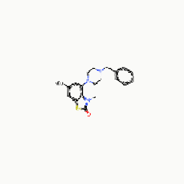 CCCCc1cc(N2CCN(Cc3ccccc3)CC2)c2c(c1)sc(=O)n2C